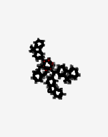 CC1(C)c2ccccc2-c2cc(-c3ccc(N(c4ccc5c(c4)C(C)(C)c4ccccc4-5)c4ccc5oc6ccccc6c5c4)c4c3C3c5ccccc5C4c4ccccc43)ccc21